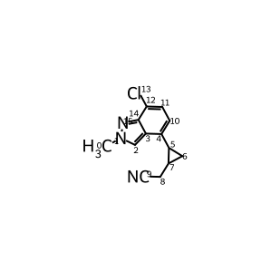 Cn1cc2c(C3CC3CC#N)ccc(Cl)c2n1